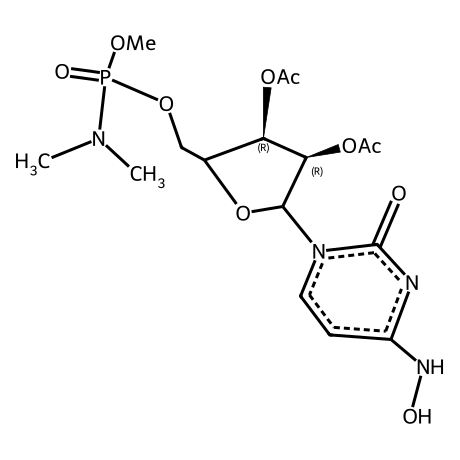 COP(=O)(OCC1OC(n2ccc(NO)nc2=O)[C@H](OC(C)=O)[C@@H]1OC(C)=O)N(C)C